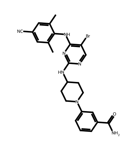 Cc1cc(C#N)cc(C)c1Nc1nc(NC2CCN(c3cccc(C(N)=O)c3)CC2)ncc1Br